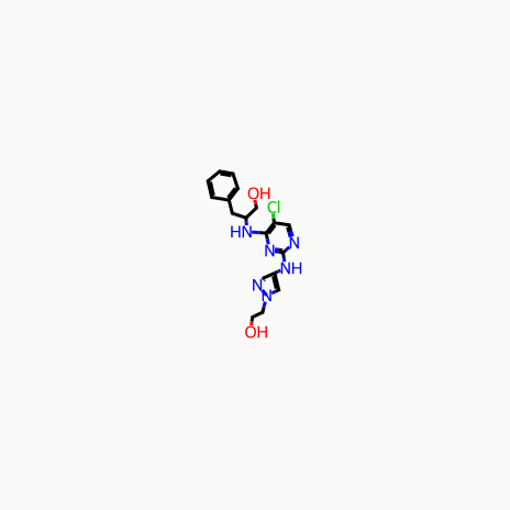 OCCn1cc(Nc2ncc(Cl)c(NC(CO)Cc3ccccc3)n2)cn1